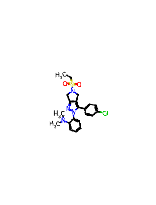 CCS(=O)(=O)N1Cc2nn(-c3ccccc3N(C)C)c(-c3ccc(Cl)cc3)c2C1